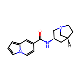 O=C(N[C@@H]1C[C@H]2CCN(C2)C1)c1ccn2cccc2c1